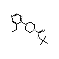 CCc1cncnc1N1CCN(C(=O)OC(C)(C)C)CC1